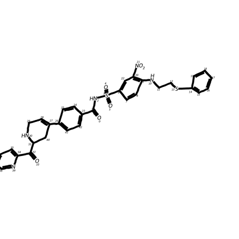 O=C(NS(=O)(=O)c1ccc(NCCSc2ccccc2)c([N+](=O)[O-])c1)c1ccc(C2=CCNC(C(=O)c3ccccn3)C2)cc1